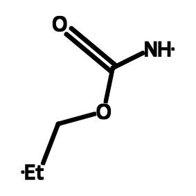 C[CH]COC([NH])=O